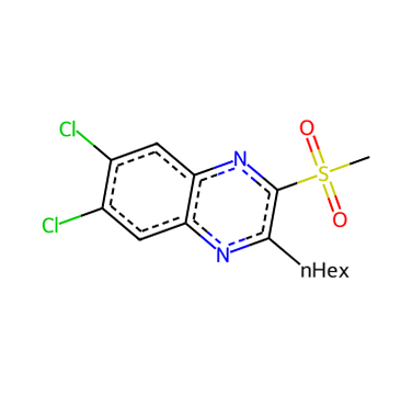 CCCCCCc1nc2cc(Cl)c(Cl)cc2nc1S(C)(=O)=O